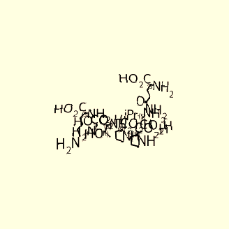 CC(C)[C@H](N)C(=O)O.C[C@@H](O)[C@H](N)C(=O)O.NC(=O)CC[C@H](N)C(=O)O.NCC(=O)O.NCCCC[C@H](N)C(=O)O.O=C(O)[C@@H]1CCCN1.O=C(O)[C@@H]1CCCN1